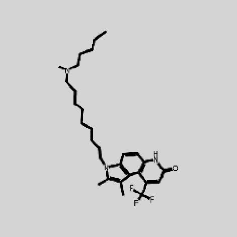 CCCCCN(C)CCCCCCCCCn1c(C)c(C)c2c3c(C(F)(F)F)cc(=O)[nH]c3ccc21